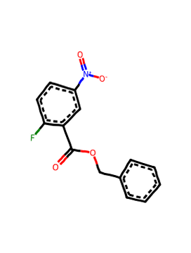 O=C(OCc1ccccc1)c1cc([N+](=O)[O-])ccc1F